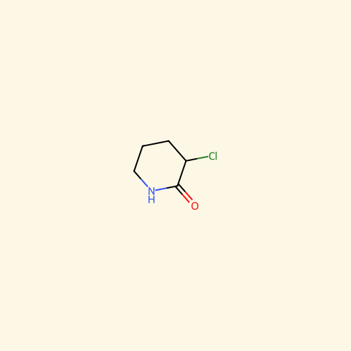 O=C1NCCCC1Cl